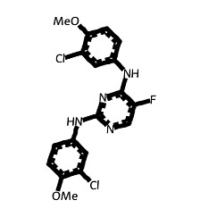 COc1ccc(Nc2ncc(F)c(Nc3ccc(OC)c(Cl)c3)n2)cc1Cl